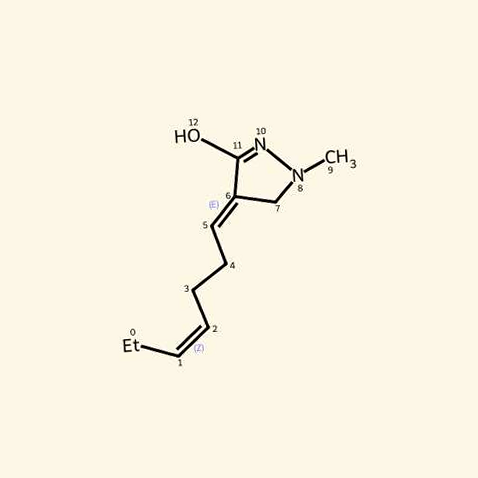 CC/C=C\CC/C=C1\CN(C)N=C1O